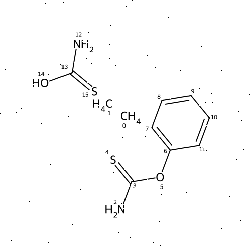 C.C.NC(=S)Oc1ccccc1.NC(O)=S